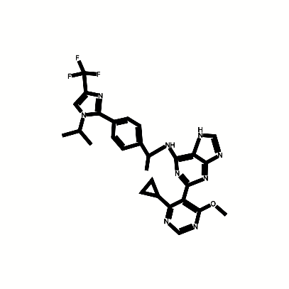 COc1ncnc(C2CC2)c1-c1nc(NC(C)c2ccc(-c3nc(C(F)(F)F)cn3C(C)C)cc2)c2[nH]cnc2n1